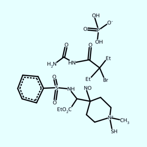 CCC(Br)(CC)C(=O)NC(N)=O.CCOC(=O)C(NS(=O)(=O)c1ccccc1)C1(N=O)CC[N+](C)(S)CC1.O=P([O-])(O)O